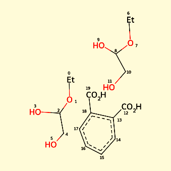 CCOC(O)CO.CCOC(O)CO.O=C(O)c1ccccc1C(=O)O